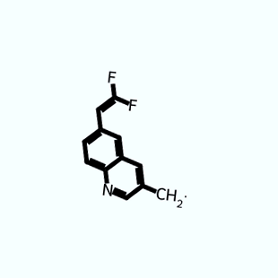 [CH2]c1cnc2ccc(C=C(F)F)cc2c1